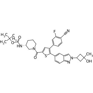 CC1(O)CC(n2cc3cc(-c4sc(C(=O)N5CCC[C@@H](NC(=O)OC(C)(C)C)C5)cc4-c4ccc(C#N)c(F)c4)ccc3n2)C1